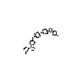 C=C/C=C(\C=C/C)C(=O)c1ccc(Cc2ccc(-c3ccc(Oc4ccc(C)cc4)cc3)cc2)cc1